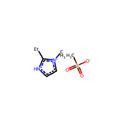 CCc1[nH]cc[n+]1C.CS(=O)(=O)[O-]